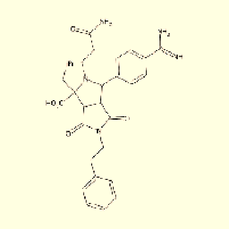 CC(C)CC1(C(=O)O)C2C(=O)N(CCc3ccccc3)C(=O)C2C(c2ccc(C(=N)N)cc2)N1CCC(N)=O